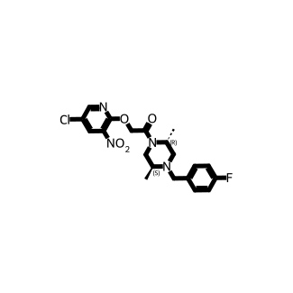 C[C@@H]1CN(Cc2ccc(F)cc2)[C@@H](C)CN1C(=O)COc1ncc(Cl)cc1[N+](=O)[O-]